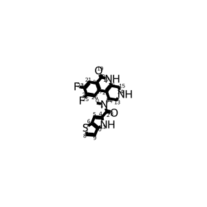 CN(C(=O)c1cc2sccc2[nH]1)[C@H]1CNCc2[nH]c(=O)c3cc(F)c(F)cc3c21